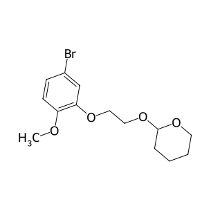 COc1ccc(Br)cc1OCCOC1CCCCO1